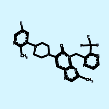 Cc1cnc2cc(N3CCN(c4cc(F)cnc4C)CC3)c(=O)n(Cc3nccnc3C(F)(F)F)c2n1